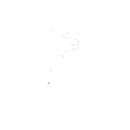 CC(C)(O)Cn1cc(-c2nc(NC3CCN(S(=O)(=O)CCCN4CCC(C#N)CC4)CC3)ncc2C(F)(F)F)cn1